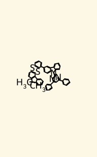 CC1(C)c2ccccc2-c2c1ccc1c2Sc2c(cccc2-c2ccc3c(c2)c2ccccc2n3-c2nc(-c3ccccc3)cc(-c3ccccc3)n2)S1